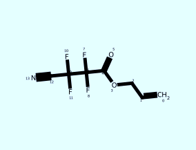 C=CCOC(=O)C(F)(F)C(F)(F)C#N